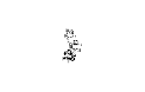 O=S(=O)(OC1=CC(CC2CCOC2)OCC1)C(F)(F)F